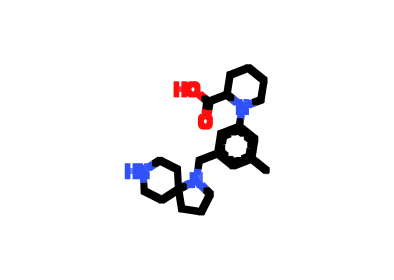 Cc1cc(CN2CCCC23CCNCC3)cc(N2CCCCC2C(=O)O)c1